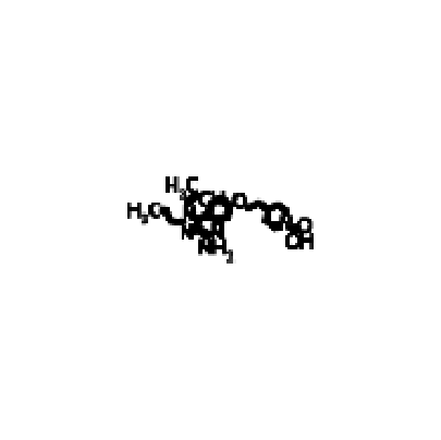 CCCc1nc2c(N)nc3cc(OCCC4CCN(C(=O)O)CC4)ccc3c2n1CC(C)C